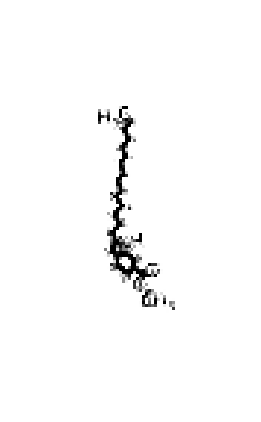 CCCCCCCCCCCCCCCc1cc2ccc(C(=O)OCC)cc2[nH]1